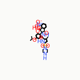 Cc1cc(S(=O)(=O)N2CCNCC2)[nH]c1C(=O)NC12C(=O)c3cccc([N+](=O)[O-])c3C1(O)Oc1cc(OC(C)C)ccc12